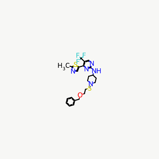 Cc1ncc(-c2nc(NC3CCN(SCCOCc4ccccc4)CC3)ncc2C(F)(F)F)s1